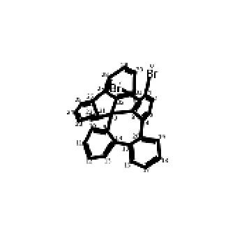 Brc1ccc2c(c1Br)C1(c3ccccc3-c3ccccc3-2)c2ccccc2-c2ccccc21